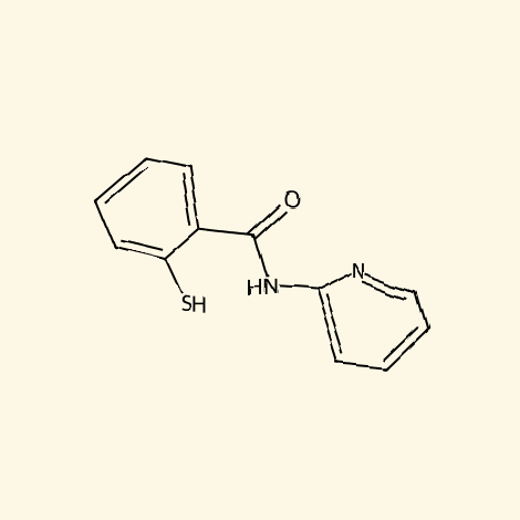 O=C(Nc1ccccn1)c1ccccc1S